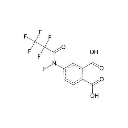 O=C(O)c1ccc(N(F)C(=O)C(F)(F)C(F)(F)F)cc1C(=O)O